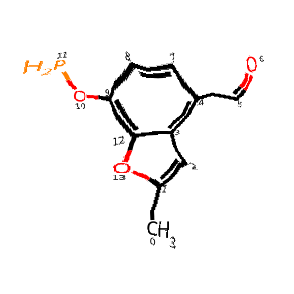 Cc1cc2c(C=O)ccc(OP)c2o1